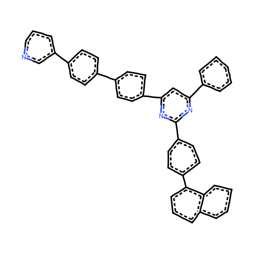 c1ccc(-c2cc(-c3ccc(-c4ccc(-c5cccnc5)cc4)cc3)nc(-c3ccc(-c4cccc5ccccc45)cc3)n2)cc1